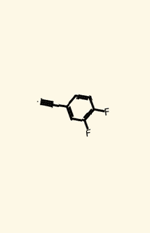 [C]#Cc1ccc(F)c(F)c1